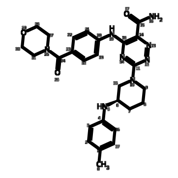 Cc1ccc(N[C@@H]2CCCN(c3nnc(C(N)=O)c(Nc4ccc(C(=O)N5CCOCC5)cc4)n3)C2)cc1